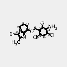 Cc1nc2c(OCc3c(Cl)cc(Cl)c(N)c3Cl)cccn2c1Br